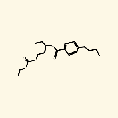 CCCCc1ccc(C(=O)OC(CC)CCOC(=O)OCC)cc1